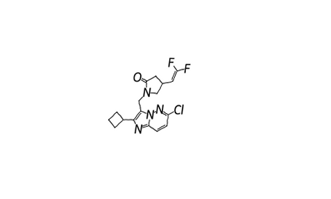 O=C1CC(C=C(F)F)CN1Cc1c(C2CCC2)nc2ccc(Cl)nn12